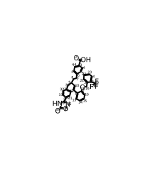 O=C(O)c1ccc(CCC(/C=C/c2ccccc2OCc2ccccc2C(F)(F)F)Cc2ccc(-c3noc(=O)[nH]3)cc2)cc1